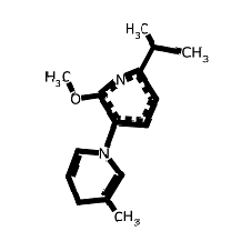 COc1nc(C(C)C)ccc1N1C=CCC(C)=C1